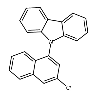 Clc1cc(-n2c3ccccc3c3ccccc32)c2ccccc2c1